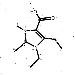 CCC1=C(C(=O)O)N(C)C(C)N1CC